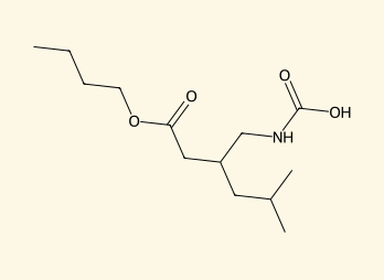 CCCCOC(=O)CC(CNC(=O)O)CC(C)C